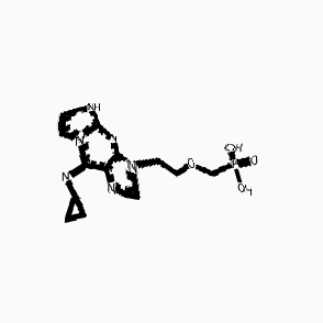 O=P(O)(O)COCCn1cnc2/c(=N\C3CC3)n3cc[nH]c3nc21